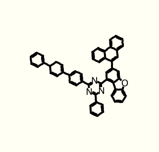 C1=CC(c2ccccc2)CC=C1c1ccc(-c2nc(-c3ccccc3)nc(-c3cc(-c4cc5ccccc5c5ccccc45)cc4oc5ccccc5c34)n2)cc1